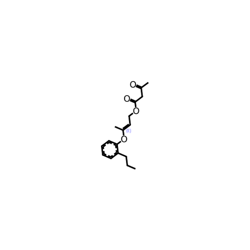 CCCc1ccccc1O/C(C)=C/COC(=O)CC(C)=O